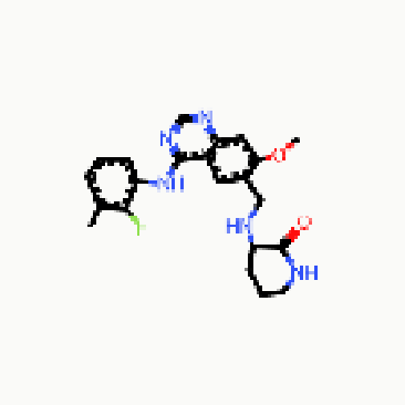 COc1cc2ncnc(Nc3cccc(C)c3F)c2cc1CN[C@@H]1CCCNC1=O